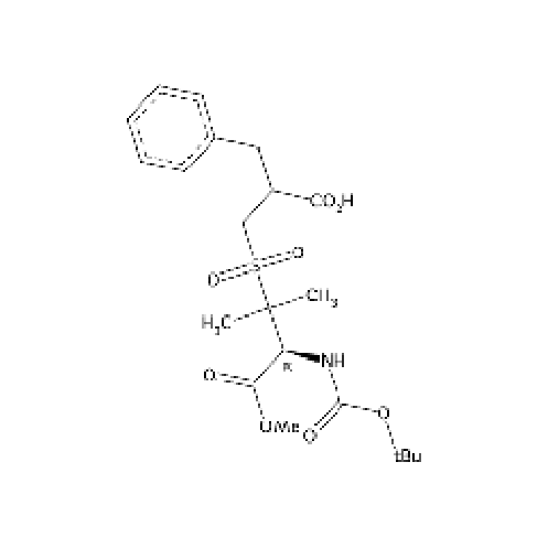 COC(=O)[C@H](NC(=O)OC(C)(C)C)C(C)(C)S(=O)(=O)CC(Cc1ccccc1)C(=O)O